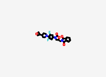 O=C1c2ccccc2C(=O)N1C[C@H]1CN(c2cc(F)c(N3CCC(C4COC4)CC3)c(F)c2)C(=O)O1